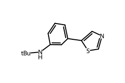 CC(C)(C)Nc1cccc(-c2cncs2)c1